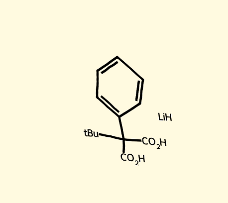 CC(C)(C)C(C(=O)O)(C(=O)O)c1ccccc1.[LiH]